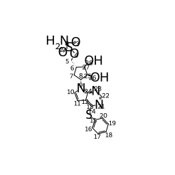 NS(=O)(=O)OC[C@H]1C[C@@H](n2ccc3c(Sc4ccccc4)ncnc32)[C@H](O)[C@@H]1O